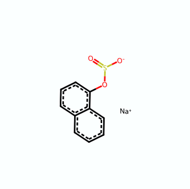 O=S([O-])Oc1cccc2ccccc12.[Na+]